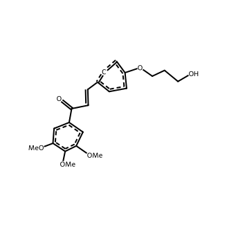 COc1cc(C(=O)C=Cc2ccc(OCCCO)cc2)cc(OC)c1OC